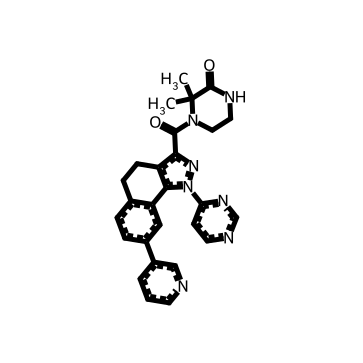 CC1(C)C(=O)NCCN1C(=O)c1nn(-c2ccncn2)c2c1CCc1ccc(-c3cccnc3)cc1-2